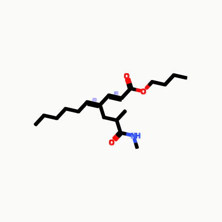 CCCCC/C=C(/C=C/C(=O)OCCCC)CC(C)C(=O)NC